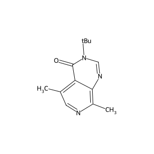 Cc1ncc(C)c2c(=O)n(C(C)(C)C)cnc12